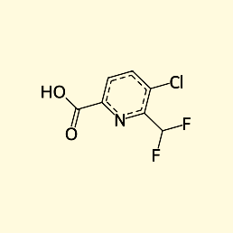 O=C(O)c1ccc(Cl)c(C(F)F)n1